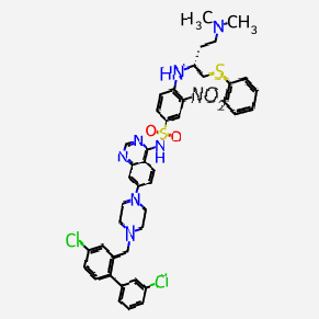 CN(C)CC[C@H](CSc1ccccc1)Nc1ccc(S(=O)(=O)Nc2ncnc3cc(N4CCN(Cc5cc(Cl)ccc5-c5cccc(Cl)c5)CC4)ccc23)cc1[N+](=O)[O-]